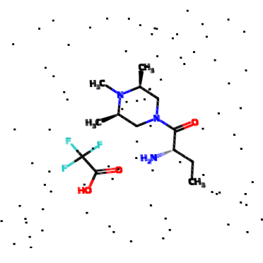 CC[C@H](N)C(=O)N1C[C@@H](C)N(C)[C@@H](C)C1.O=C(O)C(F)(F)F